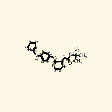 CC(C)(C)OC(=O)Cc1nccnc1Oc1ccc(Nc2ccccn2)cc1